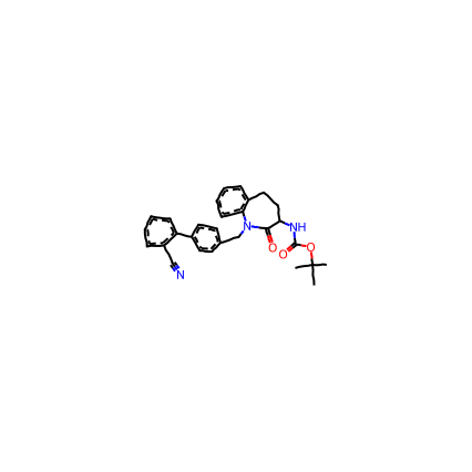 CC(C)(C)OC(=O)NC1CCc2ccccc2N(Cc2ccc(-c3ccccc3C#N)cc2)C1=O